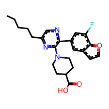 CCCCCc1cnc(-c2cc(F)c3occc3c2)c(N2CCC(C(=O)O)CC2)n1